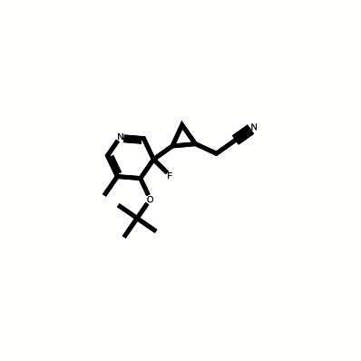 CC1=CN=CC(F)(C2CC2CC#N)C1OC(C)(C)C